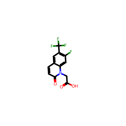 O=C(O)Cn1c(=O)ccc2cc(C(F)(F)F)c(F)cc21